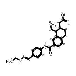 CCON=Cc1ccc(NC(=O)c2ccc3c(c2)C(CC)C(CC(=O)O)CC3)cc1